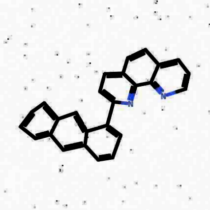 c1ccc2cc3c(-c4ccc5ccc6cccnc6c5n4)cccc3cc2c1